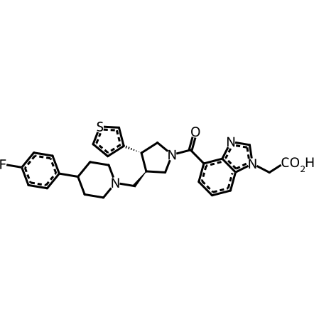 O=C(O)Cn1cnc2c(C(=O)N3C[C@@H](CN4CCC(c5ccc(F)cc5)CC4)[C@H](c4ccsc4)C3)cccc21